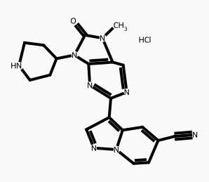 Cl.Cn1c(=O)n(C2CCNCC2)c2nc(-c3cnn4ccc(C#N)cc34)ncc21